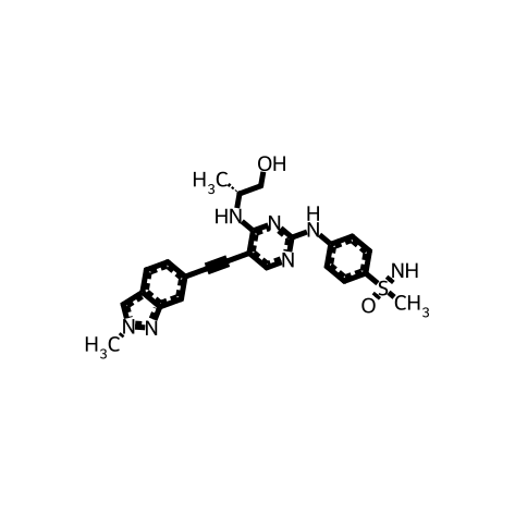 C[C@H](CO)Nc1nc(Nc2ccc(S(C)(=N)=O)cc2)ncc1C#Cc1ccc2cn(C)nc2c1